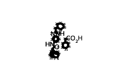 O=C(CC12CC3CC(CC(C3)C1)C2)Nc1ccc2[nH]c(CC3CCCCC3)nc2c1.O=C(O)CC1CCCCC1